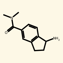 CN(C)C(=O)c1ccc2c(c1)CCC2N